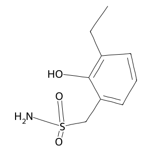 CCc1cccc(CS(N)(=O)=O)c1O